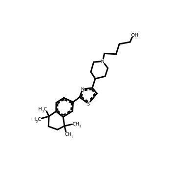 CC1(C)CCC(C)(C)c2cc(-c3nc(C4CCN(CCCCO)CC4)cs3)ccc21